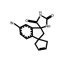 O=C1NC(=O)C2(CC3(CC=CC3)c3ccc(Br)cc32)N1